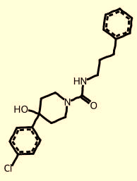 O=C(NCCCc1ccccc1)N1CCC(O)(c2ccc(Cl)cc2)CC1